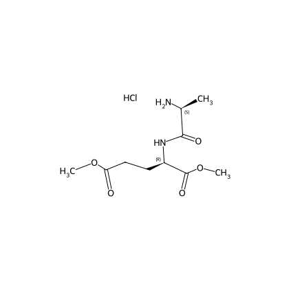 COC(=O)CC[C@@H](NC(=O)[C@H](C)N)C(=O)OC.Cl